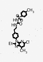 CCc1nc2c(C)cc(Cl)nc2n1-c1ccc(CCNC(=O)NS(=O)(=O)c2ccc(C)cc2)cc1